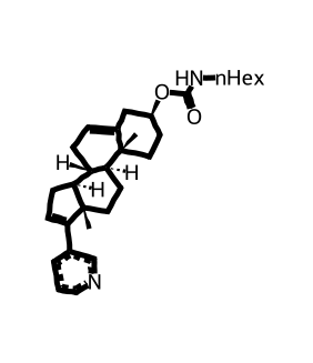 CCCCCCNC(=O)O[C@H]1CC[C@@]2(C)C(=CC[C@@H]3[C@@H]2CC[C@]2(C)C(c4cccnc4)=CC[C@@H]32)C1